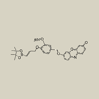 COc1cc(COc2ccc3nc4ccc(=O)cc-4oc3c2)ccc1OCC=CB1OC(C)(C)C(C)(C)O1